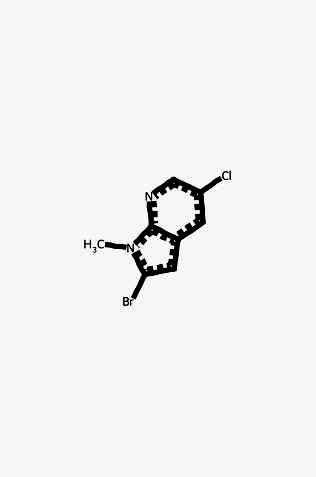 Cn1c(Br)cc2cc(Cl)cnc21